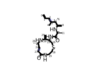 C=C/C=C(\C)[C@H](C)C(=C)N[C@@H](C)C(=O)N[C@H]1CSCCNC(=O)/C=C/[C@H](C)NC1=C